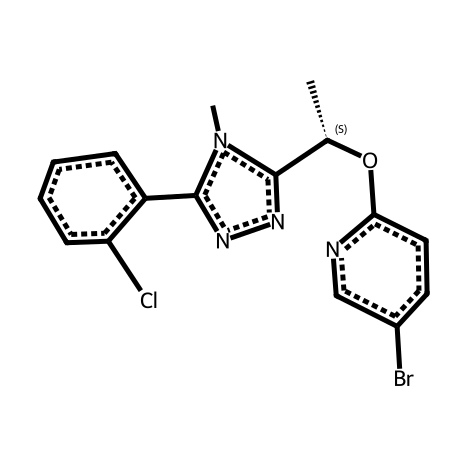 C[C@H](Oc1ccc(Br)cn1)c1nnc(-c2ccccc2Cl)n1C